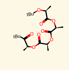 C[C@H](OC(=O)[C@H](C)OC(C)(C)C)C(=O)O[C@@H](C)C(=O)O[C@@H](C)C(=O)C(C)(C)C